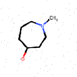 CN1CCCC([O])CC1